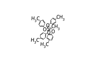 Cc1ccc(OC(C)[Si](Oc2ccc(C)cc2)(Oc2ccc(C)cc2)Oc2ccc(C)cc2)cc1